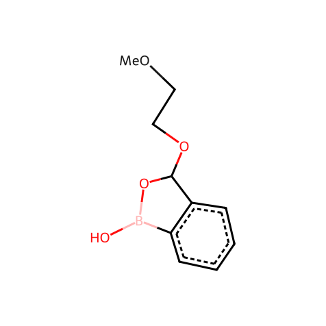 COCCOC1OB(O)c2ccccc21